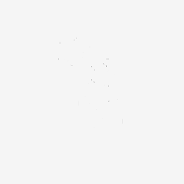 OCC(O)C(O)C(O)c1cnn(-c2ccccc2)n1